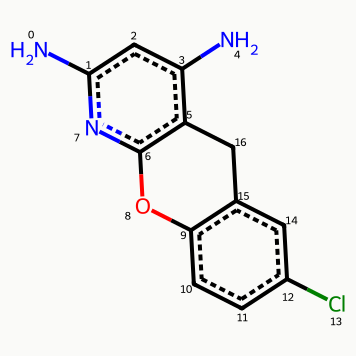 Nc1cc(N)c2c(n1)Oc1ccc(Cl)cc1C2